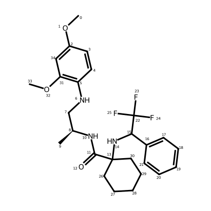 COc1ccc(NC[C@H](C)NC(=O)C2(NC(c3ccccc3)C(F)(F)F)CCCCC2)c(OC)c1